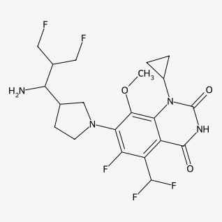 COc1c(N2CCC(C(N)C(CF)CF)C2)c(F)c(C(F)F)c2c(=O)[nH]c(=O)n(C3CC3)c12